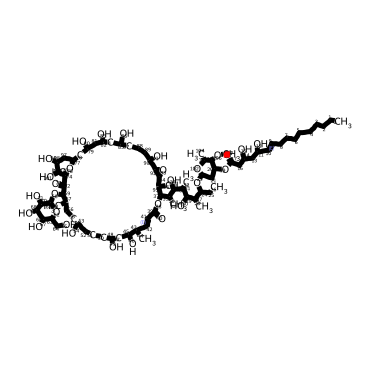 CCCCCCCCC/C=C/C(O)CC(O)CC(=O)OC1CC(OC(CC)C(C)C(O)C(C)C(O)C(C)C2OC(=O)/C=C/C(C)C(O)CC(O)CCCC(O)CCC(C)C(OC3OC(CO)C(O)C(O)C3O)C(=O)C3(O)OC(CC(O)CC(O)CC(O)CCCC(O)C4OC4C2C)CC(O)C3O)OC(C)C1OC